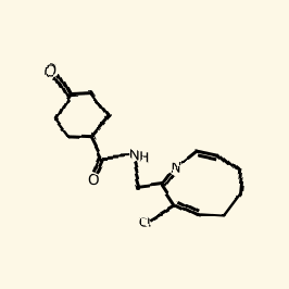 O=C1CCC(C(=O)NCC2=N/C=C\CCC/C=C\2Cl)CC1